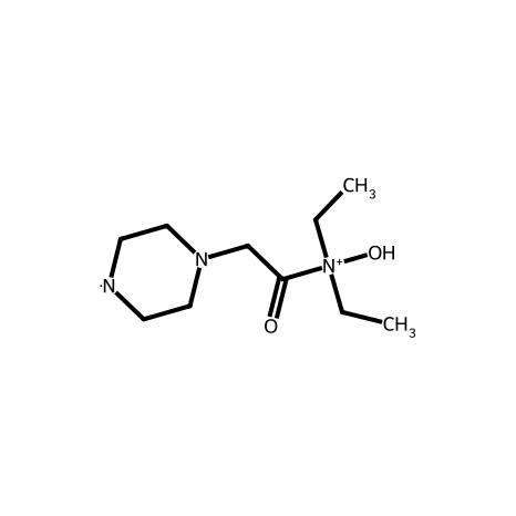 CC[N+](O)(CC)C(=O)CN1CC[N]CC1